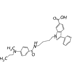 CCCN(C)c1ccc(C(=O)NCCCCn2cc(-c3ccccc3)c3ccc(C(=O)O)cc32)cc1